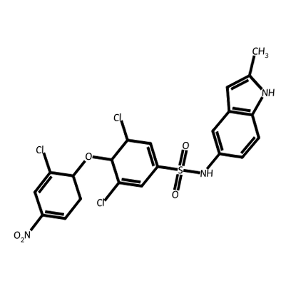 Cc1cc2cc(NS(=O)(=O)C3=CC(Cl)C(OC4CC=C([N+](=O)[O-])C=C4Cl)C(Cl)=C3)ccc2[nH]1